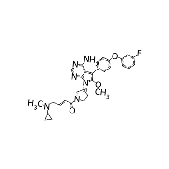 COc1c(-c2ccc(Oc3cccc(F)c3)cc2)c2c(N)ncnc2n1[C@@H]1CCN(C(=O)C=CCN(C)C2CC2)C1